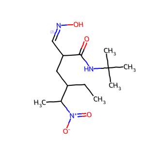 CCC(CC(/C=N\O)C(=O)NC(C)(C)C)C(C)[N+](=O)[O-]